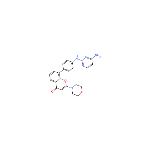 Nc1ccnc(Nc2ccc(-c3cccc4c(=O)cc(N5CCOCC5)oc34)cc2)n1